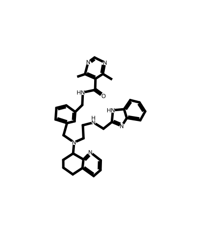 Cc1ncnc(C)c1C(=O)NCc1cccc(CN(CCNCc2nc3ccccc3[nH]2)C2CCCc3cccnc32)c1